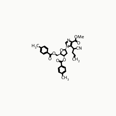 C=CCC(C#N)c1c(C(=O)OC)ncn1[C@@H]1C[C@H](OC(=O)c2ccc(C)cc2)[C@@H](COC(=O)c2ccc(C)cc2)O1